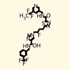 CC(F)(F)c1cncc(CNC(=O)c2nnc(CCC(F)Cn3cc(C(O)NCc4cccc(C(F)(F)F)c4)nn3)s2)c1